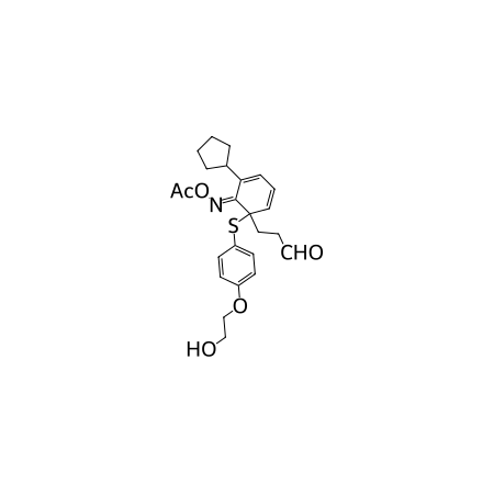 CC(=O)ON=C1C(C2CCCC2)=CC=CC1(CCC=O)Sc1ccc(OCCO)cc1